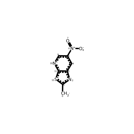 [CH2]c1nc2cc([N+](=O)[O-])cnc2s1